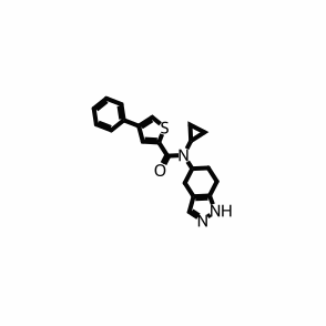 O=C(c1cc(-c2ccccc2)cs1)N(C1CC1)C1CCc2[nH]ncc2C1